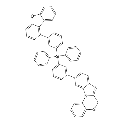 c1ccc([Si](c2ccccc2)(c2cccc(-c3ccc4nc5n(c4c3)-c3ccccc3SC5)c2)c2cccc(-c3cccc4oc5ccccc5c34)c2)cc1